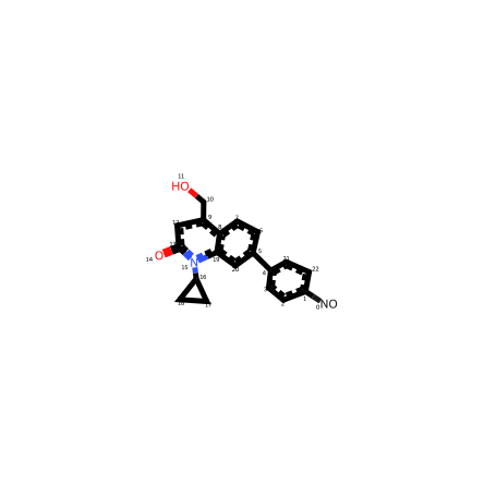 O=Nc1ccc(-c2ccc3c(CO)cc(=O)n(C4CC4)c3c2)cc1